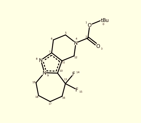 CC(C)(C)OC(=O)N1CCc2nn3c(c2C1)C(F)(F)CCCC3